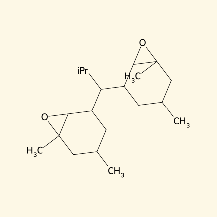 CC1CC(C(C(C)C)C2CC(C)CC3(C)OC23)C2OC2(C)C1